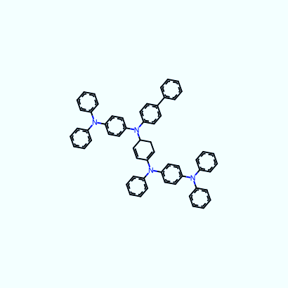 C1=CC(N(c2ccc(-c3ccccc3)cc2)c2ccc(N(c3ccccc3)c3ccccc3)cc2)CC=C1N(c1ccccc1)c1ccc(N(c2ccccc2)c2ccccc2)cc1